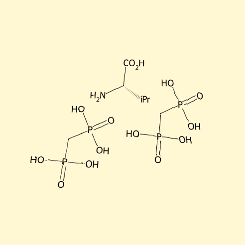 CC(C)[C@H](N)C(=O)O.O=P(O)(O)CP(=O)(O)O.O=P(O)(O)CP(=O)(O)O